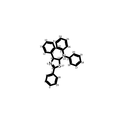 c1ccc(C2=NC(c3ccccc3)C(N(c3ccccc3)c3ccccc3)S2)cc1